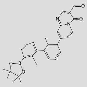 Cc1c(B2OC(C)(C)C(C)(C)O2)cccc1-c1cccc(-c2ccn3c(=O)c(C=O)cnc3c2)c1C